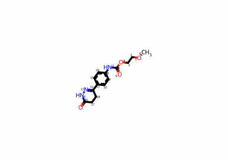 COCCOC(=O)Nc1ccc(C2=NNC(=O)CC2)cc1